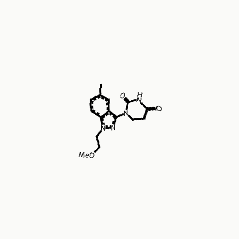 COCCn1nc(N2CCC(=O)NC2=O)c2cc(C)ccc21